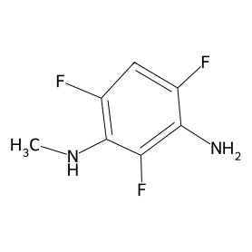 CNc1c(F)cc(F)c(N)c1F